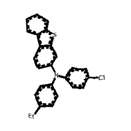 CCc1ccc(N(c2ccc(Cl)cc2)c2ccc3c(c2)sc2ccccc23)cc1